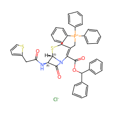 O=C(Cc1cccs1)N[C@@H]1C(=O)N2C(C(=O)OC(c3ccccc3)c3ccccc3)=C(C[P+](c3ccccc3)(c3ccccc3)c3ccccc3)CS[C@@H]12.[Cl-]